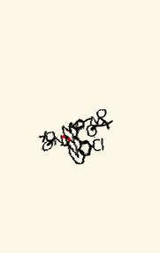 CC(C)(C)OC(=O)N1CCC(N2CCCc3cc(Cl)cc(-c4ncnn5cc(CN6C(=O)C7C(C6=O)C7(C)C)cc45)c32)C1